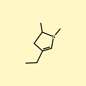 CCC1=CN(C)C(C)C1